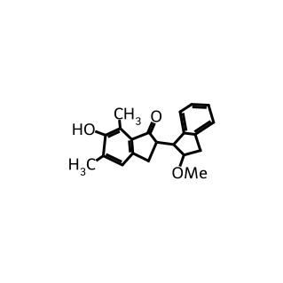 COC1Cc2ccccc2C1C1Cc2cc(C)c(O)c(C)c2C1=O